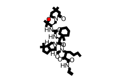 C=CCNC(=O)C(=O)C(CCCC)NC(=O)[C@@H]1[C@H]2CCC(C)(C)[C@H]2CN1C(=O)[C@@H](NC(=O)N[C@H](CN1C(=O)CC(C)(C)CC1=O)C(C)(C)C)C1(C)CCCCC1